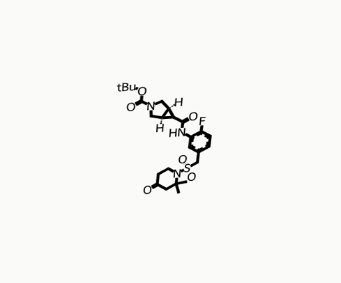 CC(C)(C)OC(=O)N1C[C@@H]2C(C(=O)Nc3cc(CS(=O)(=O)N4CCC(=O)CC4(C)C)ccc3F)[C@@H]2C1